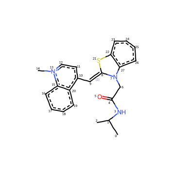 CC(C)NC(=O)CN1/C(=C/c2cc[n+](C)c3ccccc23)Sc2ccccc21